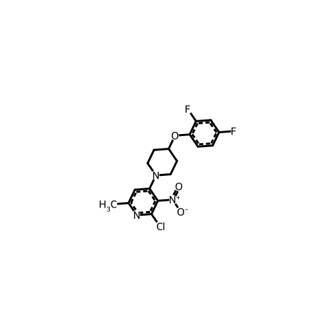 Cc1cc(N2CCC(Oc3ccc(F)cc3F)CC2)c([N+](=O)[O-])c(Cl)n1